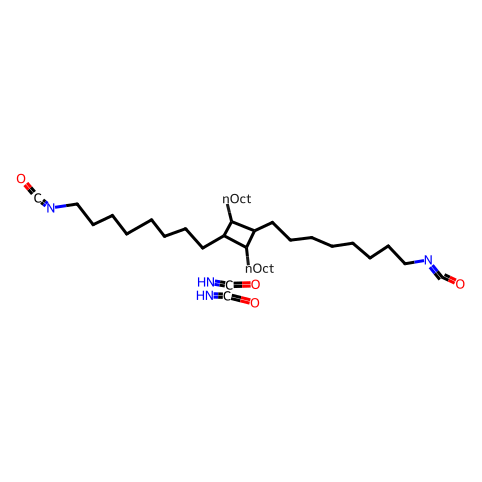 CCCCCCCCC1C(CCCCCCCCN=C=O)C(CCCCCCCC)C1CCCCCCCCN=C=O.N=C=O.N=C=O